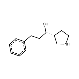 OC(CCc1ccccc1)[C@@H]1CCNC1